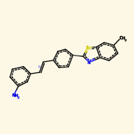 Cc1ccc2nc(-c3ccc(/C=C/c4cccc(N)c4)cc3)sc2c1